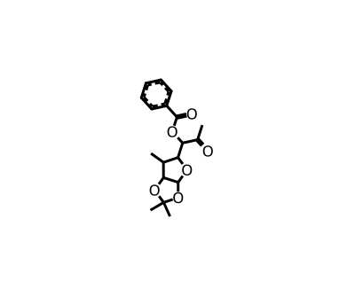 CC(=O)C(OC(=O)c1ccccc1)C1OC2OC(C)(C)OC2C1C